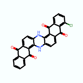 O=c1c2ccccc2c(=O)c2c1ccc1[nH]c3c(ccc4c(=O)c5c(Cl)cccc5c(=O)c43)[nH]c12